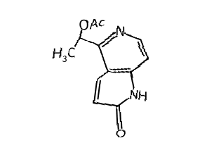 CC(=O)OC(C)c1nccc2[nH]c(=O)ccc12